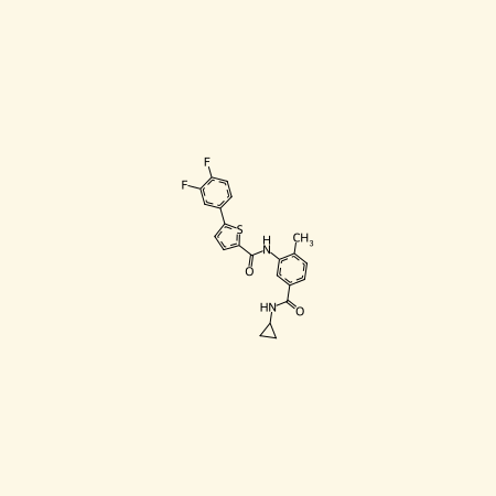 Cc1ccc(C(=O)NC2CC2)cc1NC(=O)c1ccc(-c2ccc(F)c(F)c2)s1